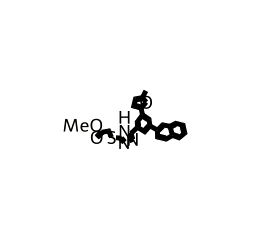 COC(=O)CSc1nnc(-c2cc(-c3ccc4ccccc4c3)cc(-c3ccc(C)o3)c2)[nH]1